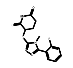 Cn1c(SC2CCC(=O)NC2=O)nnc1-c1ccccc1F